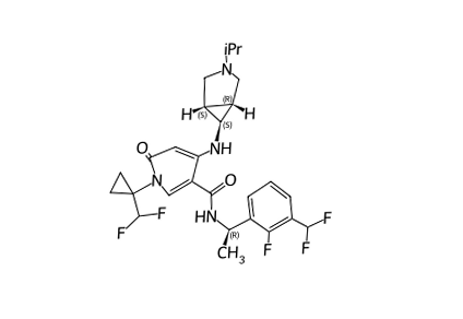 CC(C)N1C[C@@H]2[C@H](C1)[C@H]2Nc1cc(=O)n(C2(C(F)F)CC2)cc1C(=O)N[C@H](C)c1cccc(C(F)F)c1F